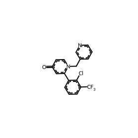 O=c1ccn(Cc2cccnc2)c(-c2cccc(C(F)(F)F)c2Cl)c1